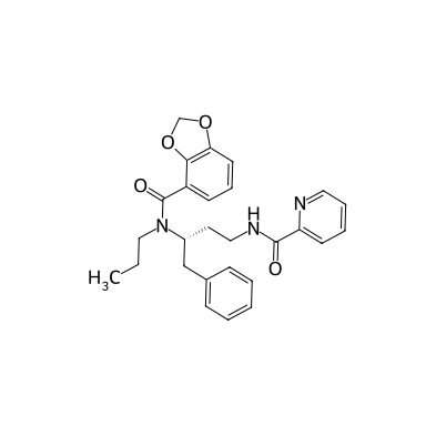 CCCN(C(=O)c1cccc2c1OCO2)[C@H](CCNC(=O)c1ccccn1)Cc1ccccc1